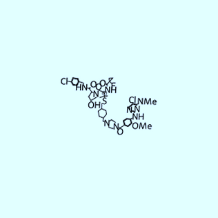 CNc1nc(Nc2ccc(C(=O)N3CCN(CC4CCC(CSC(C)(C)[C@H](NC(=O)C5(F)CC5)C(=O)N5CC(O)CC5C(=O)NCc5ccc(Cl)cc5)CC4)CC3)cc2OC)ncc1Cl